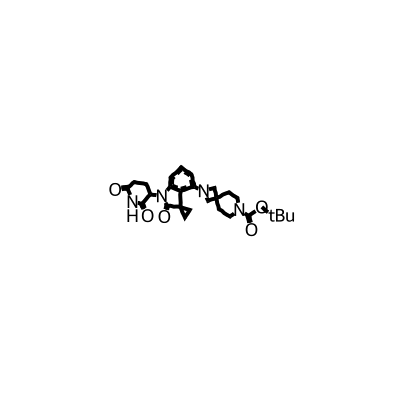 CC(C)(C)OC(=O)N1CCC2(CC1)CN(c1cccc3c1C1(CC1)C(=O)N3C1CCC(=O)NC1=O)C2